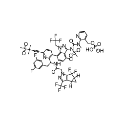 CN(C(=O)N(c1nn(CC(F)(F)F)c2c(-c3ccc(C#CC(C)(C)S(C)(=O)=O)nc3[C@H](Cc3cc(F)cc(F)c3)NC(=O)Cn3nc(C(F)(F)F)c4c3C(F)(F)[C@@H]3C[C@H]43)ccc(Cl)c12)S(C)(=O)=O)c1ncccc1COP(=O)(O)O